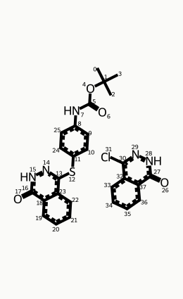 CC(C)(C)OC(=O)Nc1ccc(Sc2n[nH]c(=O)c3ccccc23)cc1.O=c1[nH]nc(Cl)c2ccccc12